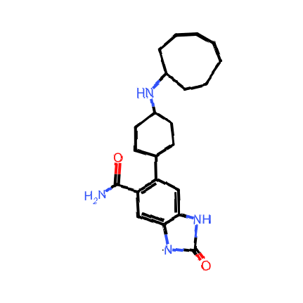 NC(=O)c1cc2c(cc1C1CCC(NC3CCCCCCC3)CC1)NC(=O)[N]2